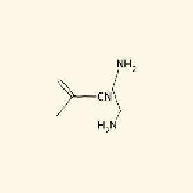 C=C(C)C#N.NCCN